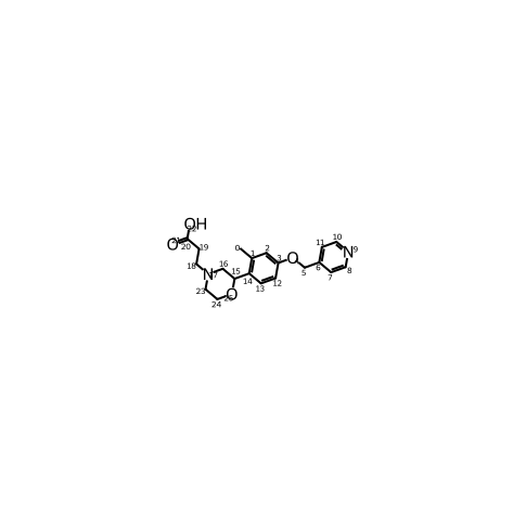 Cc1cc(OCc2ccncc2)ccc1C1CN(CCC(=O)O)CCO1